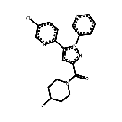 O=C(c1cc(-c2ccc(Cl)cn2)n(-c2cccnc2)n1)N1CCC(F)CC1